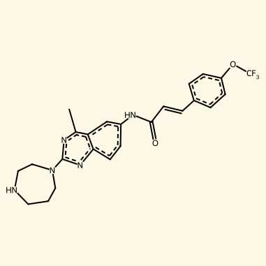 Cc1nc(N2CCCNCC2)nc2ccc(NC(=O)/C=C/c3ccc(OC(F)(F)F)cc3)cc12